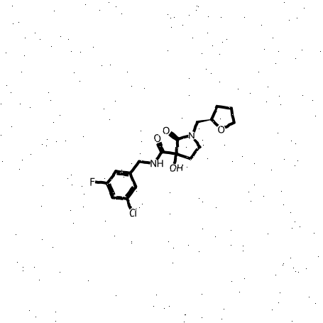 O=C(NCc1cc(F)cc(Cl)c1)C1(O)CCN(C[C@H]2CCCO2)C1=O